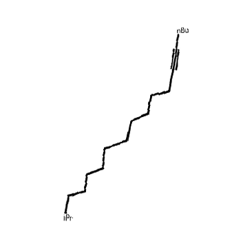 CCCCC#CCCCCCCCCCC[C](C)C